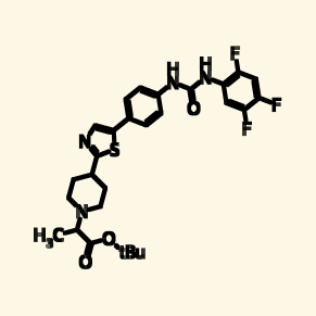 CC(C(=O)OC(C)(C)C)N1CCC(c2ncc(-c3ccc(NC(=O)Nc4cc(F)c(F)cc4F)cc3)s2)CC1